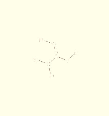 CCO[SiH](OCC)N(CC)CC